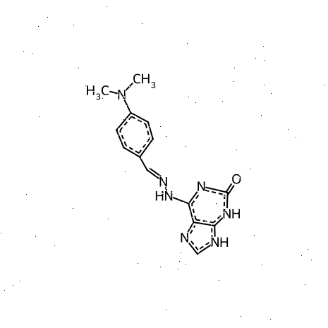 CN(C)c1ccc(C=NNc2nc(=O)[nH]c3[nH]cnc23)cc1